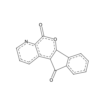 O=C1c2ccccc2-c2oc(=O)c3ncccc3c21